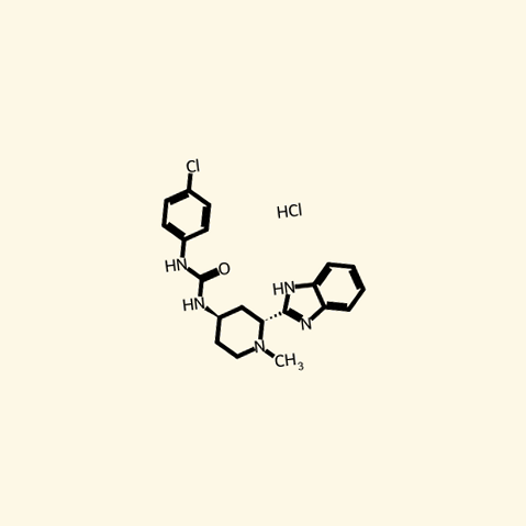 CN1CC[C@@H](NC(=O)Nc2ccc(Cl)cc2)C[C@@H]1c1nc2ccccc2[nH]1.Cl